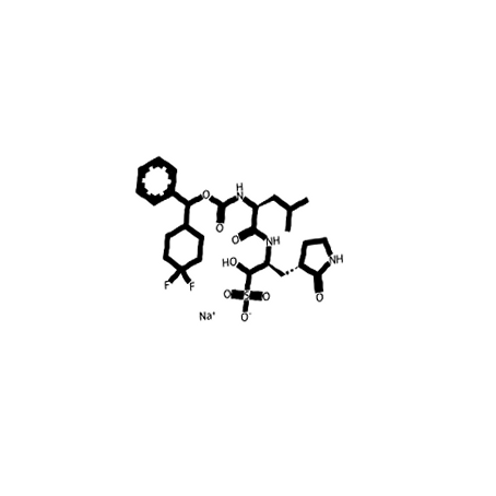 CC(C)C[C@H](NC(=O)OC(c1ccccc1)C1CCC(F)(F)CC1)C(=O)N[C@@H](C[C@@H]1CCNC1=O)C(O)S(=O)(=O)[O-].[Na+]